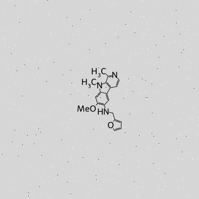 COc1cc2c(cc1NCc1ccco1)c1ccnc(C)c1n2C